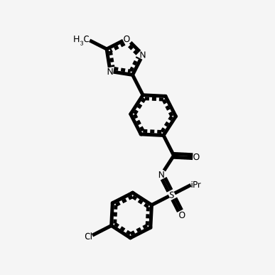 Cc1nc(-c2ccc(C(=O)N=S(=O)(c3ccc(Cl)cc3)C(C)C)cc2)no1